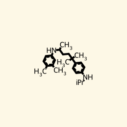 Cc1ccc(NC(C)CCC(C)(C)c2ccc(NC(C)C)cc2)cc1C